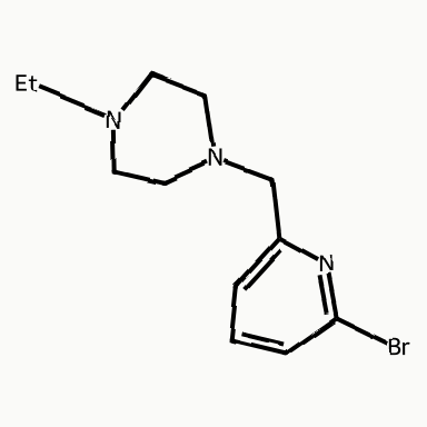 CCN1CCN(Cc2cccc(Br)n2)CC1